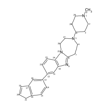 CN1CCC(N2CCc3nc4cc(-c5ccc6c(c5)C=CC6)ccc4n3CC2)CC1